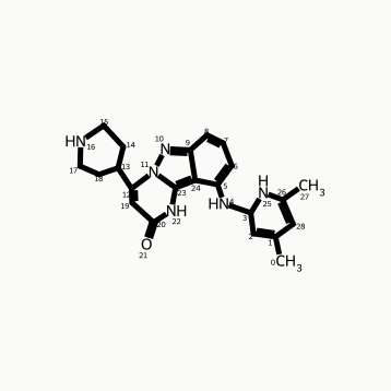 CC1=CC(Nc2cccc3nn4c(C5CCNCC5)cc(=O)[nH]c4c23)NC(C)=C1